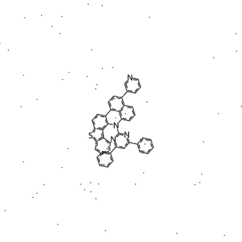 c1ccc(-c2cc(-c3ccccc3)nc(N3c4cccc5c(-c6cccnc6)ccc(c45)-c4ccc5sc6ccccc6c5c43)n2)cc1